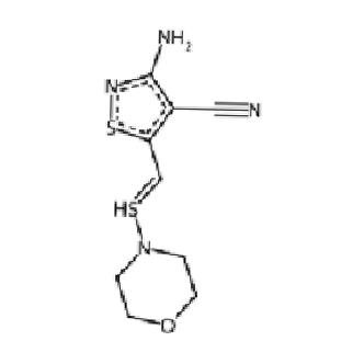 N#Cc1c(N)nsc1C=[SH]N1CCOCC1